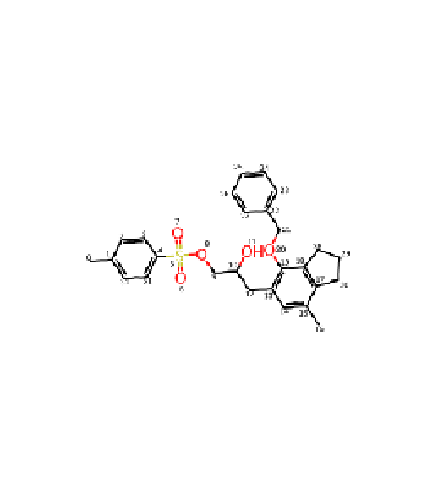 Cc1ccc(S(=O)(=O)OCC(O)Cc2cc(C)c3c(c2OCc2ccccc2)CCC3)cc1